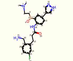 CN(C)CC[S+]([O-])c1cc(-c2cn[nH]c2)ccc1NC(=O)CCc1cc(F)ccc1CN